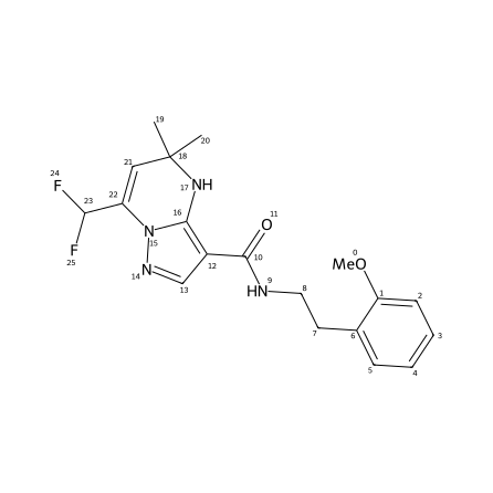 COc1ccccc1CCNC(=O)c1cnn2c1NC(C)(C)C=C2C(F)F